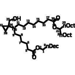 CCCCCCCCCCCOC(=O)CCCCCN(CCCCCCCC(=O)OC(CCCCCCCC)CCCCCCCC)C1(CO)CC1